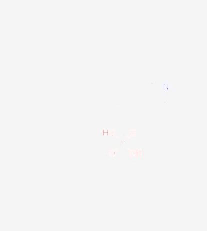 CCCCCCCCCCCC[N+](C)(C)CC.O=P([O-])(O)O